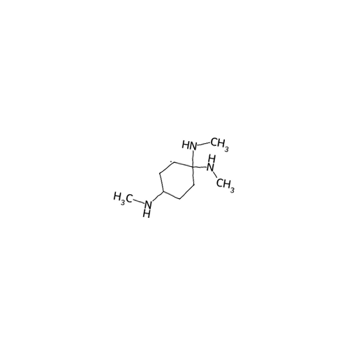 CNC1C[CH]C(NC)(NC)CC1